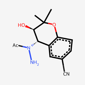 CC(=O)N(N)[C@H]1c2cc(C#N)ccc2OC(C)(C)[C@@H]1O